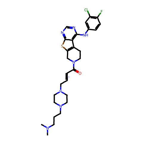 CN(C)CCCN1CCN(C/C=C/C(=O)N2CCc3c(sc4ncnc(Nc5ccc(F)c(Cl)c5)c34)C2)CC1